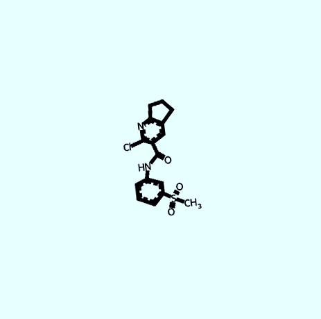 CS(=O)(=O)c1cccc(NC(=O)c2cc3c(nc2Cl)CCC3)c1